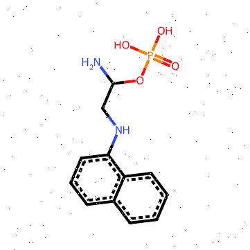 NC(CNc1cccc2ccccc12)OP(=O)(O)O